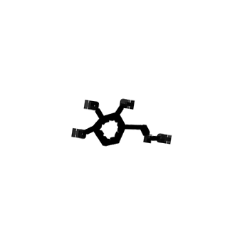 ON=Cc1ccc(O)c(O)c1O